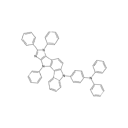 c1ccc(-c2nc3c(c4ccc5c(c6ccccc6n5-c5ccc(N(c6ccccc6)c6ccccc6)cc5)c4n3-c3ccccc3)n2-c2ccccc2)cc1